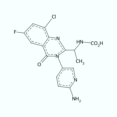 CC(NC(=O)O)c1nc2c(Cl)cc(F)cc2c(=O)n1-c1ccc(N)nc1